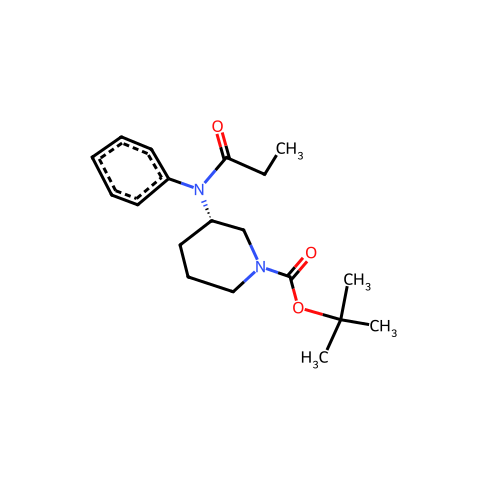 CCC(=O)N(c1ccccc1)[C@H]1CCCN(C(=O)OC(C)(C)C)C1